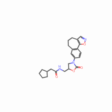 O=C(CC1CCCC1)NCC1CN(c2ccc3c(c2)CCCc2cnoc2-3)C(=O)O1